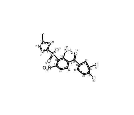 Cc1nnc(S(=O)(=O)c2c([N+](=O)[O-])ccc(C(=O)c3ccc(Cl)c(Cl)c3)c2N)s1